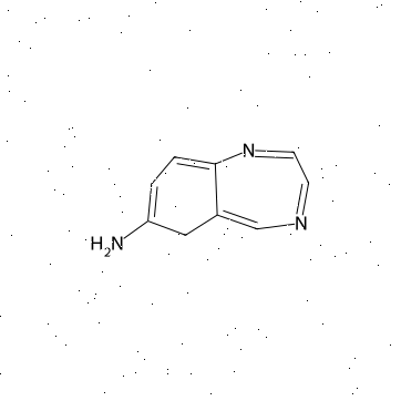 NC1=CC=C2N=CC=NC=C2C1